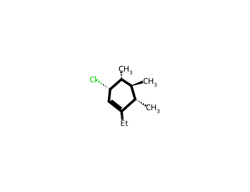 CCC1=C[C@H](Cl)[C@H](C)[C@@H](C)[C@@H]1C